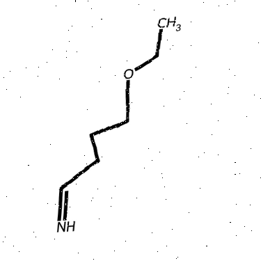 CCOCCCC=N